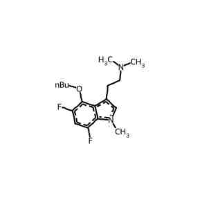 CCCCOc1c(F)cc(F)c2c1c(CCN(C)C)cn2C